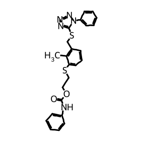 Cc1c(CSc2nnnn2-c2ccccc2)cccc1SCCOC(=O)Nc1ccccc1